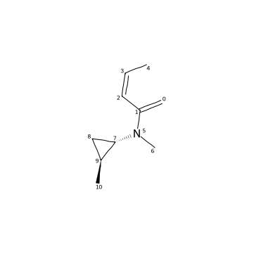 C=C(/C=C\C)N(C)[C@H]1C[C@@H]1C